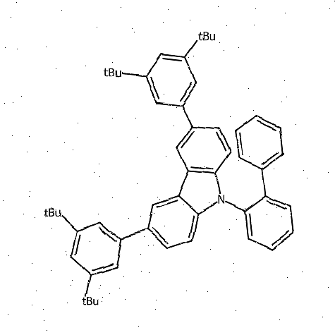 CC(C)(C)c1cc(-c2ccc3c(c2)c2cc(-c4cc(C(C)(C)C)cc(C(C)(C)C)c4)ccc2n3-c2ccccc2-c2ccccc2)cc(C(C)(C)C)c1